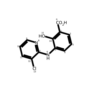 O=C(O)c1cccc(Nc2ncccc2Cl)c1O